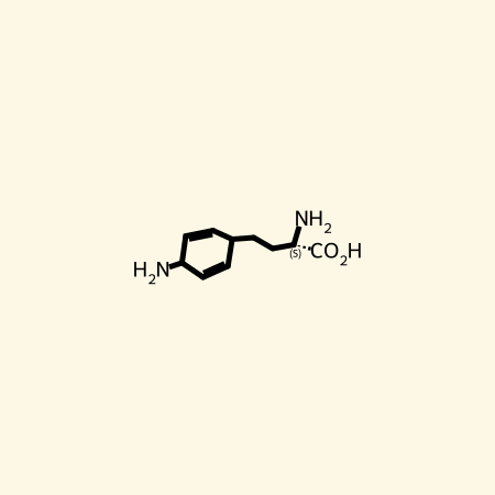 NC1C=CC(CC[C@H](N)C(=O)O)C=C1